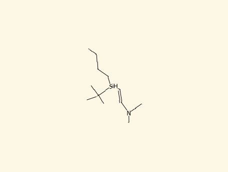 CCCC[SiH](C=CN(C)C)C(C)(C)C